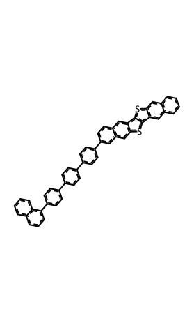 c1ccc2cc3c(cc2c1)sc1c2cc4ccc(-c5ccc(-c6ccc(-c7ccc(-c8cccc9ccccc89)cc7)cc6)cc5)cc4cc2sc31